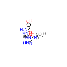 CC[C@H](C)[C@H](NC(=O)[C@@H](N)Cc1ccc(O)cc1)C(=O)N[C@@H](Cc1c[nH]cn1)C(=O)N1CCC[C@H]1C(=O)O